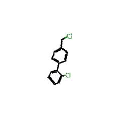 ClCc1ccc(-c2ccccc2Cl)cc1